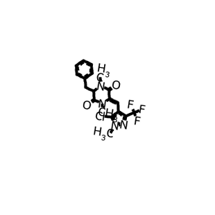 CN1C(=O)C(Cc2ccccc2)N(C)C(=O)C1=Cc1c(C(F)(F)F)nn(C)c1Cl